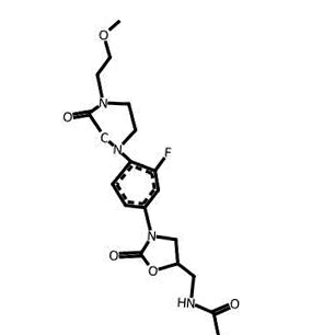 COCCN1CCN(c2ccc(N3CC(CNC(C)=O)OC3=O)cc2F)CC1=O